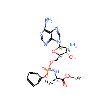 CC(C)OC(=O)[C@@H](C)N[P@@](=O)(OC[C@H]1O[C@@H](n2cnc3c(N)ncnc32)[C@H](N)[C@@H]1O)Oc1ccccc1